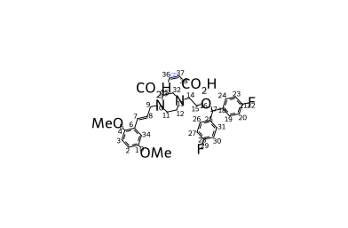 COc1ccc(OC)c(C=CCN2CCN(CCOC(c3ccc(F)cc3)c3ccc(F)cc3)CC2)c1.O=C(O)/C=C\C(=O)O